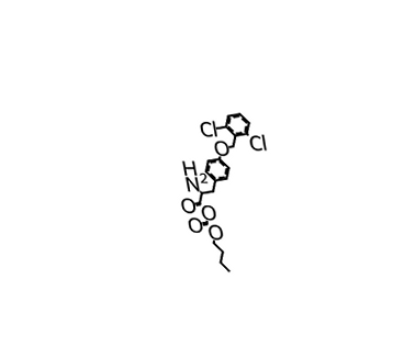 CCCCOC(=O)OC(=O)[C@@H](N)Cc1ccc(OCc2c(Cl)cccc2Cl)cc1